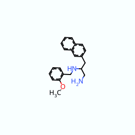 COc1ccccc1CNC(CN)Cc1ccc2ccccc2c1